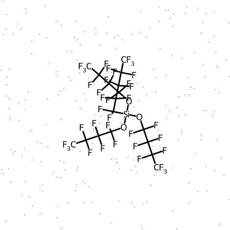 FC(F)(F)C(F)(F)C(F)(F)C(F)(F)O[Si](OC(F)(F)C(F)(F)C(F)(F)C(F)(F)F)(OC(F)(F)C(F)(F)C(F)(F)C(F)(F)F)C(F)(F)C(F)(F)C(F)(F)C(F)(F)C(F)(F)F